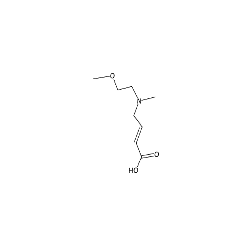 COCCN(C)CC=CC(=O)O